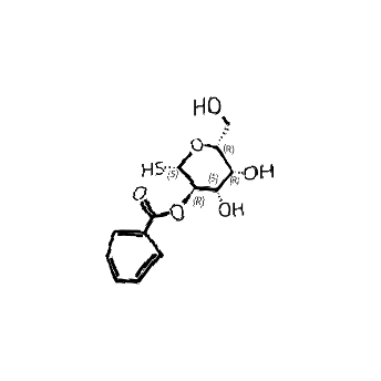 O=C(O[C@@H]1[C@@H](O)[C@@H](O)[C@@H](CO)O[C@H]1S)c1ccccc1